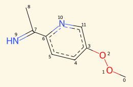 COOc1ccc(C(C)=N)nc1